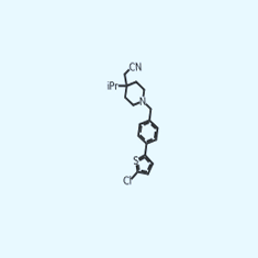 CC(C)C1(CC#N)CCN(Cc2ccc(-c3ccc(Cl)s3)cc2)CC1